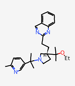 CCOC(C)(C)[C@]1(CCc2ncc3ccccc3n2)CCN(C(C)(C)c2ccc(C)nc2)C1